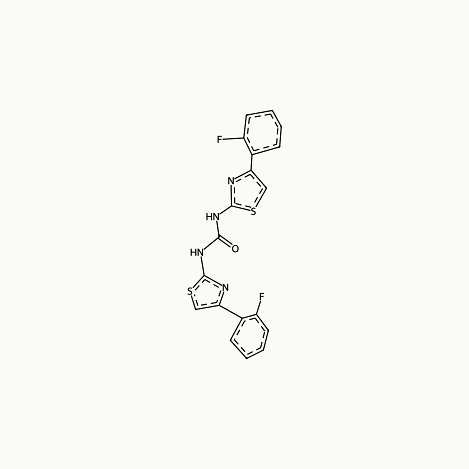 O=C(Nc1nc(-c2ccccc2F)cs1)Nc1nc(-c2ccccc2F)cs1